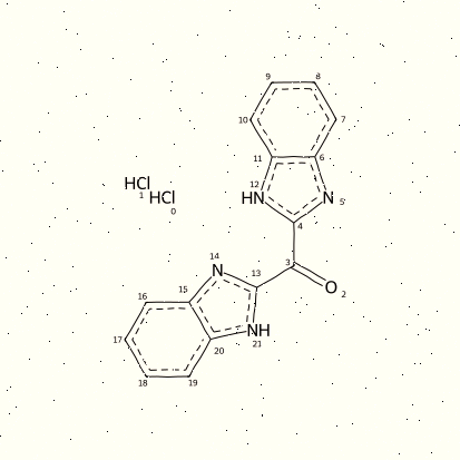 Cl.Cl.O=C(c1nc2ccccc2[nH]1)c1nc2ccccc2[nH]1